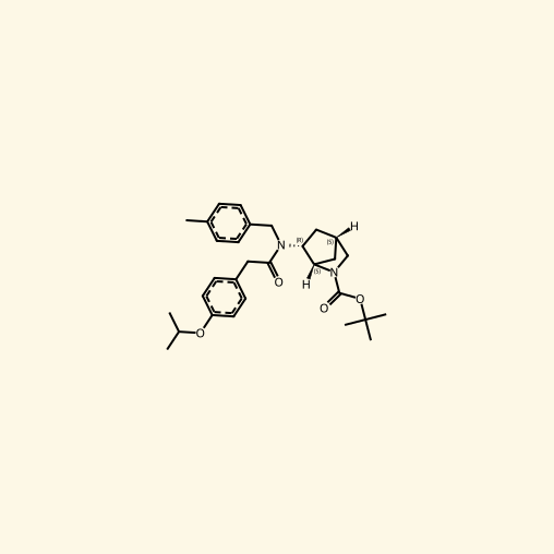 Cc1ccc(CN(C(=O)Cc2ccc(OC(C)C)cc2)[C@@H]2C[C@H]3C[C@@H]2N(C(=O)OC(C)(C)C)C3)cc1